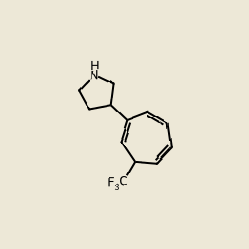 FC(F)(F)C1C=CC=CC(C2CCNC2)=C1